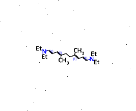 CCN(/C=C/C=C(\C)CC/C(C)=C/C=C/N(CC)CC)CC